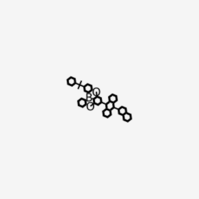 CC(C)(c1ccccc1)c1ccc2c(c1)B1c3ccccc3Oc3cc(-c4c5ccccc5c(-c5ccc6ccccc6c5)c5ccccc45)cc(c31)O2